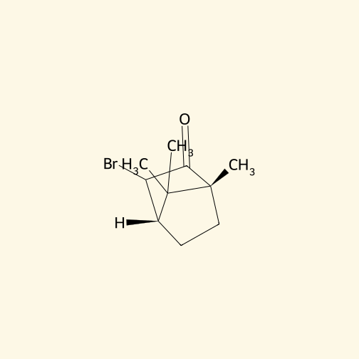 CC1(C)[C@@H]2CC[C@@]1(C)C(=O)C2Br